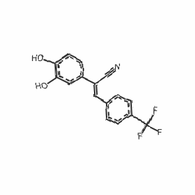 N#CC(=Cc1ccc(C(F)(F)F)cc1)c1ccc(O)c(O)c1